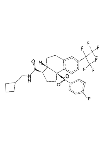 O=C(NCC1CCC1)[C@@H]1CC[C@@]2(S(=O)(=O)c3ccc(F)cc3)c3ccc(C(F)(C(F)(F)F)C(F)(F)F)cc3CC[C@@H]12